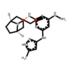 Cc1cc(Nc2cc(NN)nc(N[C@@H]3C[C@H]4CC[C@@H](C3)N4CCC#N)n2)n[nH]1